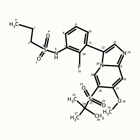 CCCS(=O)(=O)Nc1cccc(-c2cnc3cc(OC)c(S(=O)(=O)C(C)(C)C)cn23)c1F